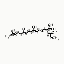 C=CC(=O)NC(CSC/C=C(\C)CC/C=C(\C)CCC=C(C)C)C(=C)O